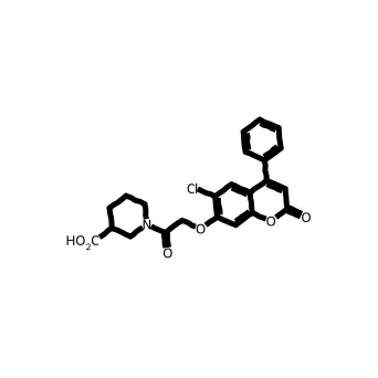 O=C(O)C1CCCN(C(=O)COc2cc3oc(=O)cc(-c4ccccc4)c3cc2Cl)C1